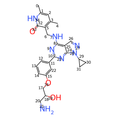 Cc1cc(C)c(CNc2nc(-c3cccc(OCC(O)CN)c3)nc3c2cnn3C2CC2)c(=O)[nH]1